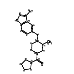 [2H]c1noc2ccc(CN3CCN(C(=O)N4CCCC4)CC3C)cc12